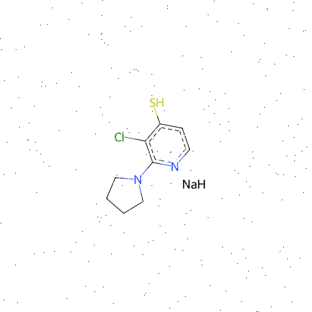 Sc1ccnc(N2CCCC2)c1Cl.[NaH]